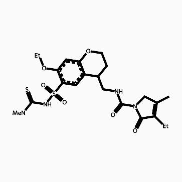 CCOc1cc2c(cc1S(=O)(=O)NC(=S)NC)C(CNC(=O)N1CC(C)=C(CC)C1=O)CCO2